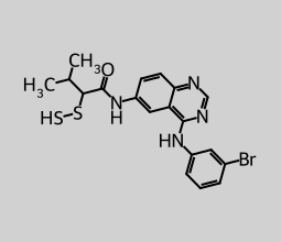 CC(C)C(SS)C(=O)Nc1ccc2ncnc(Nc3cccc(Br)c3)c2c1